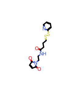 O=C(CCCSSc1ccccn1)NCCN1C(=O)C=CC1=O